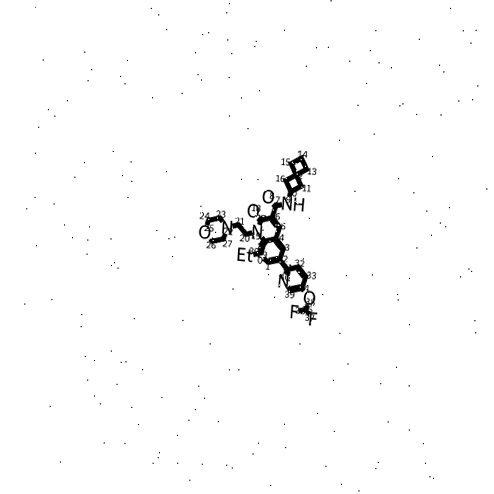 C\C=C(/C=c1/cc(C(=O)NC2CC3(CCC3)C2)c(=O)n(CCN2CCOCC2)/c1=C\CC)c1ccc(OC(F)F)cn1